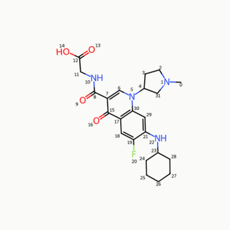 CN1CCC(n2cc(C(=O)NCC(=O)O)c(=O)c3cc(F)c(NC4CCCCC4)cc32)C1